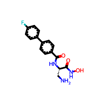 NC[C@H](NC(=O)c1ccc(-c2ccc(F)cc2)cc1)C(=O)NO